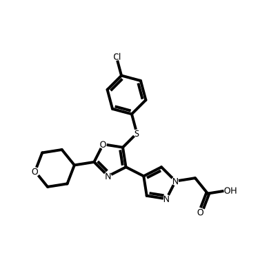 O=C(O)Cn1cc(-c2nc(C3CCOCC3)oc2Sc2ccc(Cl)cc2)cn1